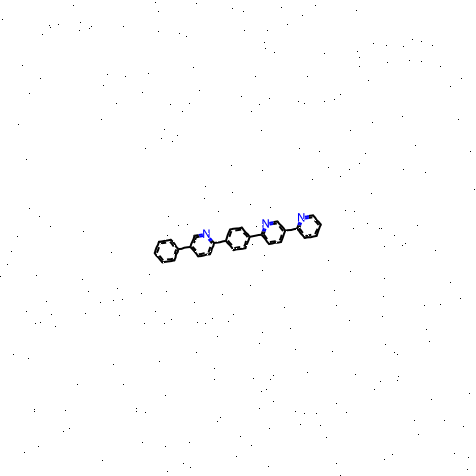 c1ccc(-c2ccc(-c3ccc(-c4ccc(-c5ccccn5)cn4)cc3)nc2)cc1